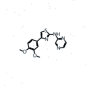 COc1ccc(-c2csc(Nc3cnccn3)n2)cc1OC